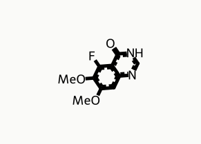 COc1cc2nc[nH]c(=O)c2c(F)c1OC